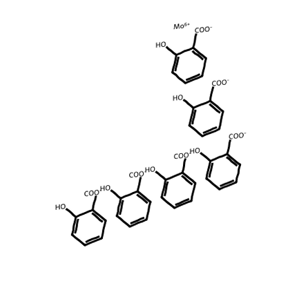 O=C([O-])c1ccccc1O.O=C([O-])c1ccccc1O.O=C([O-])c1ccccc1O.O=C([O-])c1ccccc1O.O=C([O-])c1ccccc1O.O=C([O-])c1ccccc1O.[Mo+6]